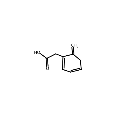 C=C1CC=CC=C1CC(=O)O